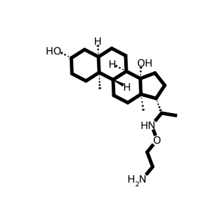 CC(NOCCN)[C@H]1CC[C@]2(O)[C@@H]3CC[C@@H]4C[C@@H](O)CC[C@]4(C)[C@H]3CC[C@]12C